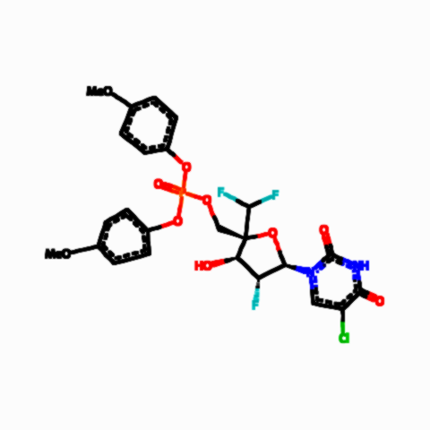 COc1ccc(OP(=O)(OC[C@@]2(C(F)F)O[C@@H](n3cc(Cl)c(=O)[nH]c3=O)[C@H](F)[C@H]2O)Oc2ccc(OC)cc2)cc1